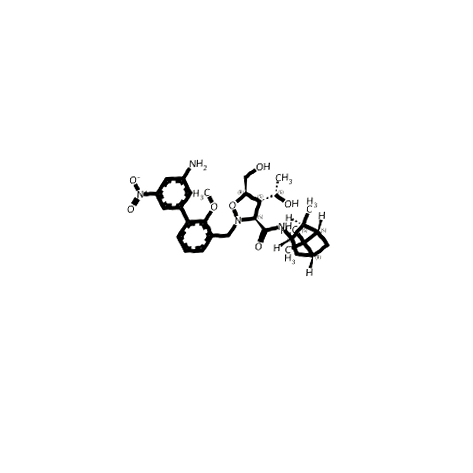 COc1c(CN2O[C@@H](CO)[C@H]([C@H](C)O)[C@H]2C(=O)N[C@H]2C[C@H]3C[C@@H]([C@@H]2C)C3(C)C)cccc1-c1cc(N)cc([N+](=O)[O-])c1